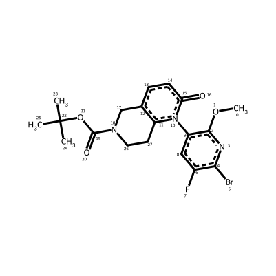 COc1nc(Br)c(F)cc1-n1c2c(ccc1=O)CN(C(=O)OC(C)(C)C)CC2